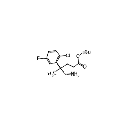 CC(C)(C)OC(=O)CCC(C)(CN)c1cc(F)ccc1Cl